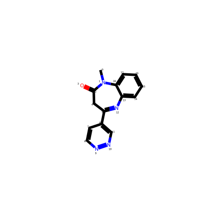 CN1C(=O)CC(c2ccnnc2)=Nc2ccccc21